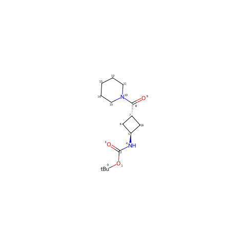 CC(C)(C)OC(=O)N[C@H]1C[C@H](C(=O)N2CCCCC2)C1